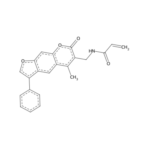 C=CC(=O)NCc1c(C)c2cc3c(-c4ccccc4)coc3cc2oc1=O